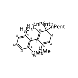 CCCCCC1(CCCCC)CC=C(OC)C(c2c(C)cccc2OC)=C1C